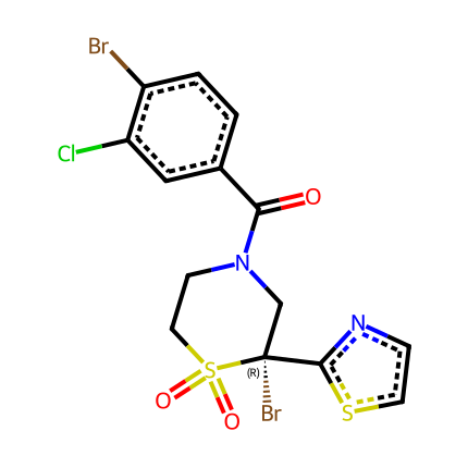 O=C(c1ccc(Br)c(Cl)c1)N1CCS(=O)(=O)[C@](Br)(c2nccs2)C1